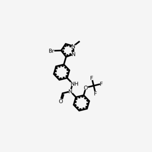 Cn1cc(Br)c(-c2cccc(NN(C=O)c3ccccc3OC(F)(F)F)c2)n1